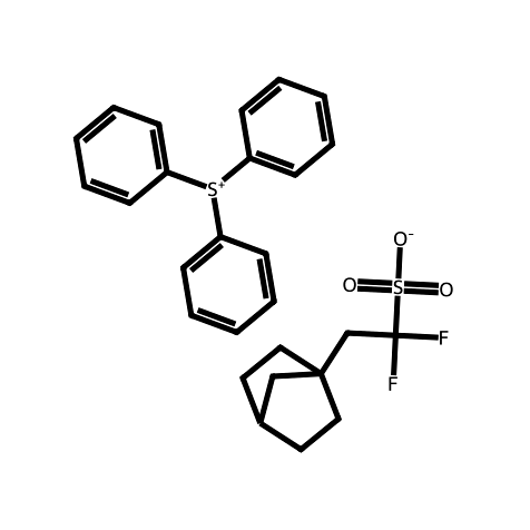 O=S(=O)([O-])C(F)(F)CC12CCC(CC1)C2.c1ccc([S+](c2ccccc2)c2ccccc2)cc1